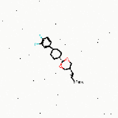 CCCCC/C=C/[C@H]1CO[C@H](C2CCC(c3ccc(F)c(F)c3)CC2)OC1